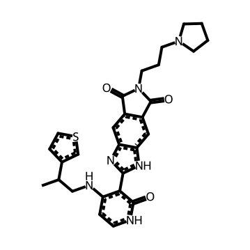 CC(CNc1cc[nH]c(=O)c1-c1nc2cc3c(cc2[nH]1)C(=O)N(CCCN1CCCC1)C3=O)c1ccsc1